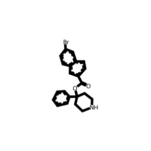 O=C(OC1(c2ccccc2)CCNCC1)c1ccc2cc(Br)ccc2c1